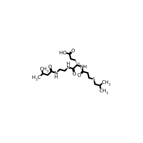 CC(C)CSCCC(=O)N[C@@H](CCC(=O)O)C(=O)NCCNC(=O)CC(C)C